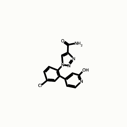 NC(=O)c1cn(-c2ccc(Cl)cc2-c2ccnc(O)c2)nn1